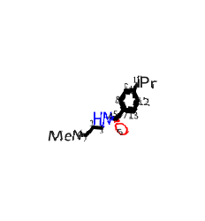 CNCCCNC(=O)c1ccc(C(C)C)cc1